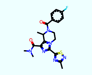 Cc1nsc(-c2nc(C(=O)N(C)C)c3n2CCN(C(=O)c2ccc(F)cc2)C3C)n1